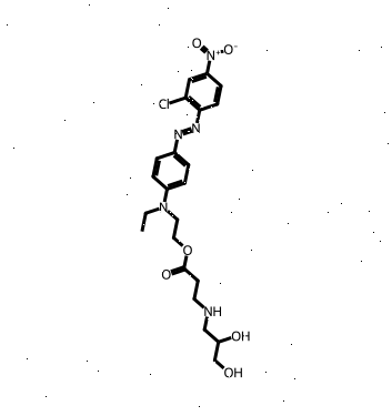 CCN(CCOC(=O)CCNCC(O)CO)c1ccc(/N=N/c2ccc([N+](=O)[O-])cc2Cl)cc1